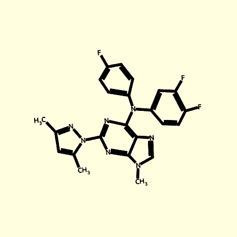 Cc1cc(C)n(-c2nc(N(c3ccc(F)cc3)c3ccc(F)c(F)c3)c3ncn(C)c3n2)n1